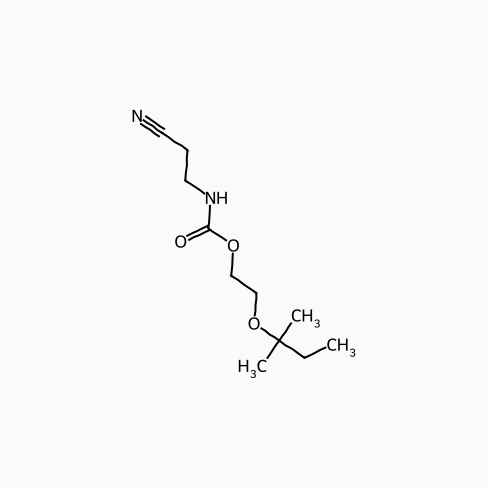 CCC(C)(C)OCCOC(=O)NCCC#N